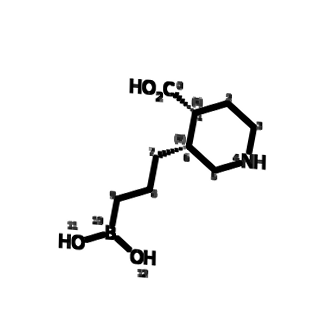 O=C(O)[C@@H]1CCNC[C@@H]1CCCB(O)O